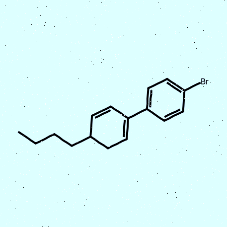 CCCCC1C=CC(c2ccc(Br)cc2)=CC1